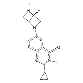 CN1CC2[C@H]1CN2c1ccc2nc(C3CC3)n(C)c(=O)c2c1